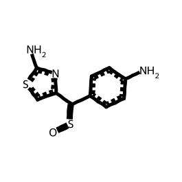 Nc1ccc(C(=S=O)c2csc(N)n2)cc1